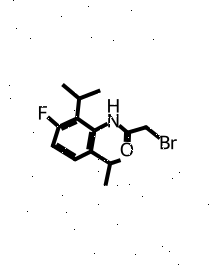 CC(C)c1ccc(F)c(C(C)C)c1NC(=O)CBr